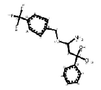 CC(O)(CC(N)OCc1ccc(C(F)(F)F)cc1)c1ccccc1